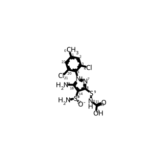 Cc1cc(Cl)c(-n2nc(SNC(=O)O)c([S+](N)[O-])c2N)c(Cl)c1